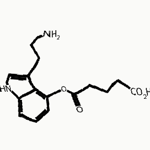 NCCc1c[nH]c2cccc(OC(=O)CCCC(=O)O)c12